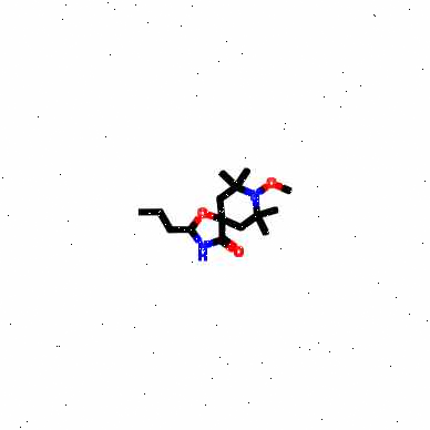 CCCC1NC(=O)C2(CC(C)(C)N(OC)C(C)(C)C2)O1